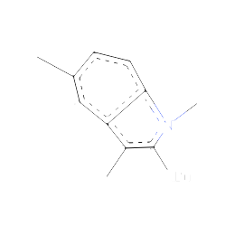 Cc1ccc2c(c1)c(C)c(C(C)(C)C)n2C